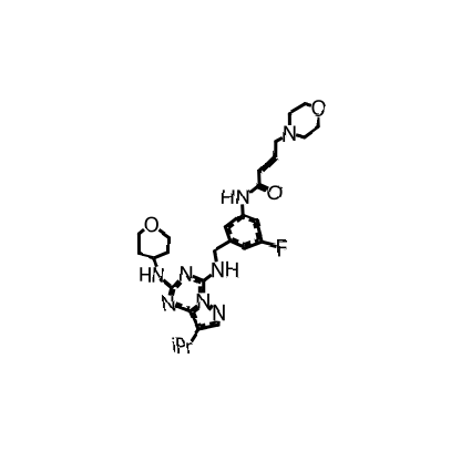 CC(C)c1cnn2c(NCc3cc(F)cc(NC(=O)/C=C/CN4CCOCC4)c3)nc(NC3CCOCC3)nc12